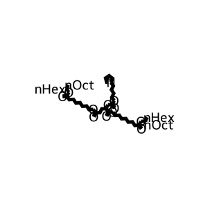 CCCCCCCCC(CCCCCC)OC(=O)CCCCCCCOC(=O)CCC(OC(=O)OCCCCN1CCCC1)C(=O)OCCCCCCCC(=O)OC(CCCCCC)CCCCCCCC